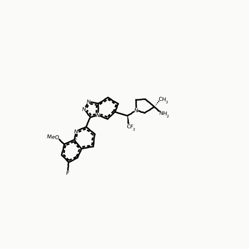 COc1cc(F)cc2ccc(-c3nnc4ccc([C@@H](N5CC[C@@](C)(N)C5)C(F)(F)F)cn34)nc12